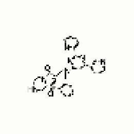 O=C(CCNc1cc(-c2cccnc2)nc(-c2ccccn2)n1)N1CCNCC1S(=O)(=O)c1ccccc1